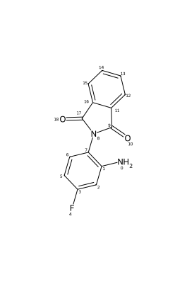 Nc1cc(F)ccc1N1C(=O)c2ccccc2C1=O